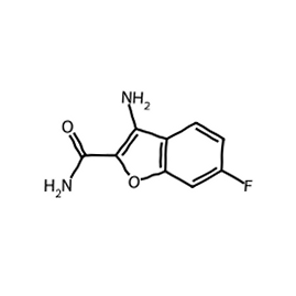 NC(=O)c1oc2cc(F)ccc2c1N